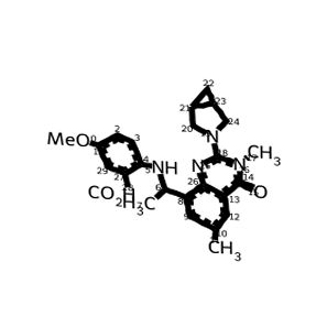 COc1ccc(NC(C)c2cc(C)cc3c(=O)n(C)c(N4CC5CC5C4)nc23)c(C(=O)O)c1